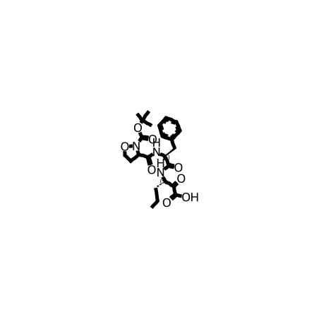 CCC[C@H](NC(=O)[C@H](Cc1ccccc1)NC(=O)C1CCON1C(=O)OC(C)(C)C)C(=O)C(=O)O